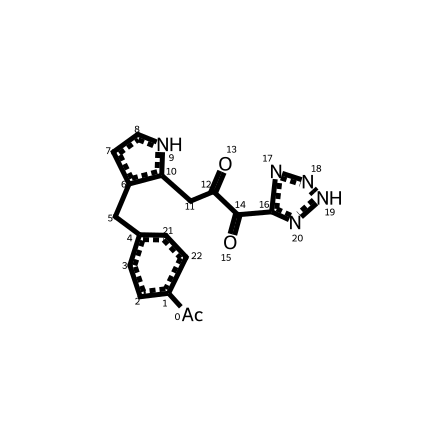 CC(=O)c1ccc(Cc2cc[nH]c2CC(=O)C(=O)c2nn[nH]n2)cc1